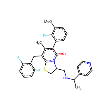 COc1cccc(-c2c(C)c(Cc3c(F)cccc3F)c3n(c2=O)C(CNC(C)c2ccncc2)CS3)c1F